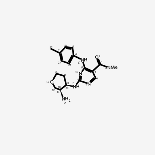 CNC(=O)c1cnc(N[C@@H]2CCOC[C@@H]2N)nc1Nc1ccc(C)cc1